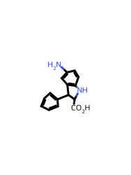 Nc1ccc2c(c1)C(c1ccccc1)C(C(=O)O)N2